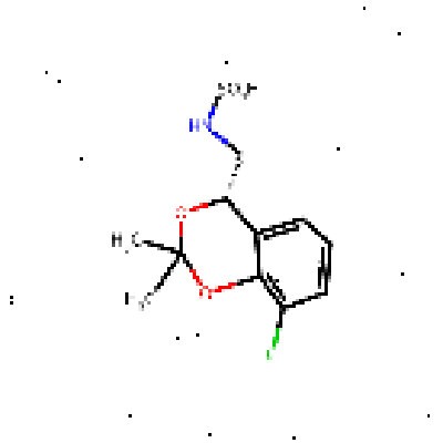 CC1(C)Oc2c(Cl)cccc2[C@@H](CNS(=O)(=O)O)O1